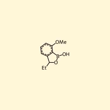 CCC1OB(O)c2c(OC)cccc21